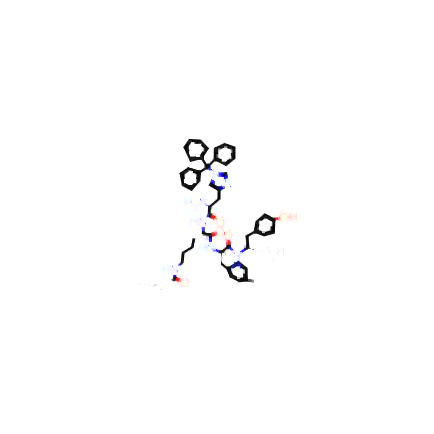 CCCCCCCC(=O)NCCCC[C@H](NC(=O)[C@@H](N)Cc1cn(C(c2ccccc2)(c2ccccc2)c2ccccc2)cn1)C(=O)N[C@H](Cc1ccc(C(F)(F)F)cc1)C(=O)N[C@@H](Cc1ccc(O)cc1)C(=O)O